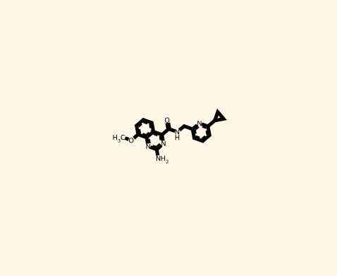 COc1cccc2c(C(=O)NCc3cccc(C4CC4)n3)nc(N)nc12